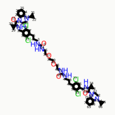 O=C(NCCCc1cc(Cl)c(CNC2(C(=O)N3CCN(C4CC4)c4ccccc43)CC2)cc1Cl)NCCOCCOCCNC(=O)NCCCc1cc(Cl)c(CNC2(C(=O)N3CCN(C4CC4)c4ccccc43)CC2)cc1Cl